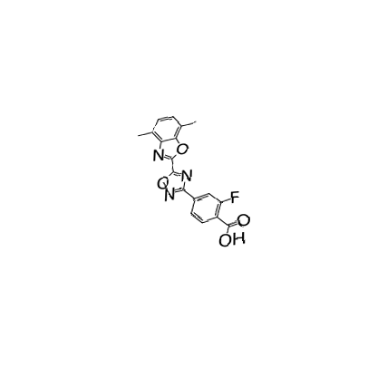 Cc1ccc(C)c2oc(-c3nc(-c4ccc(C(=O)O)c(F)c4)no3)nc12